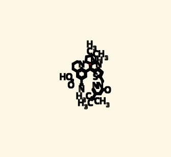 CC1(C)C[C@H](N2CCCc3cc(C#N)cc(-c4ccnc5cc(Cn6ncc(C(C)(C)C)cc6=O)sc45)c32)CN1.O=CO